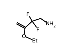 C=C(OCC)C(F)(F)CN